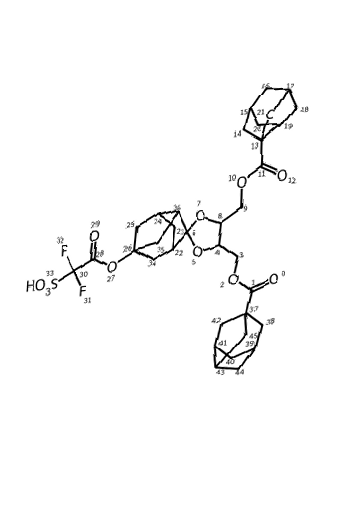 O=C(OCC1OC2(OC1COC(=O)C13CC4CC(CC1C4)C3)C1CC3CC(OC(=O)C(F)(F)S(=O)(=O)O)(C1)CC32)C12CC3CC(C1)C(C3)C2